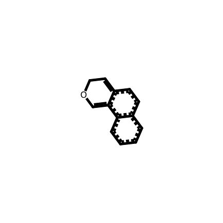 C1=c2ccc3ccccc3c2=COC1